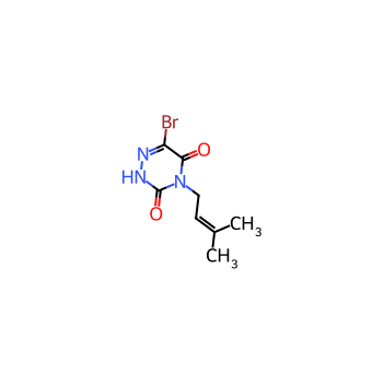 CC(C)=CCn1c(=O)[nH]nc(Br)c1=O